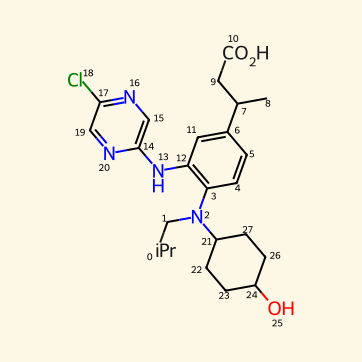 CC(C)CN(c1ccc(C(C)CC(=O)O)cc1Nc1cnc(Cl)cn1)C1CCC(O)CC1